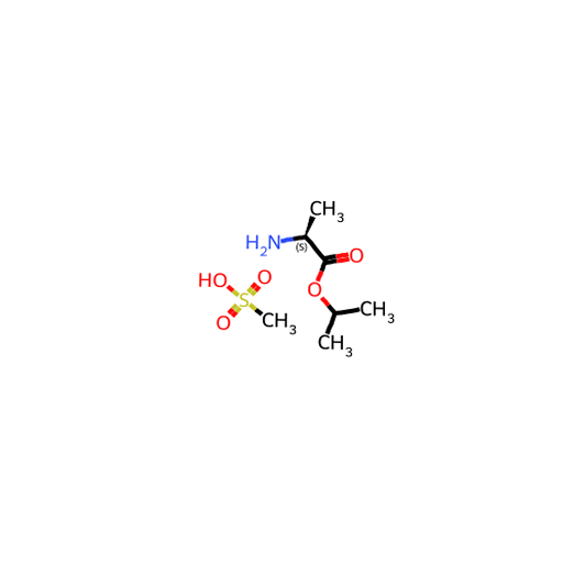 CC(C)OC(=O)[C@H](C)N.CS(=O)(=O)O